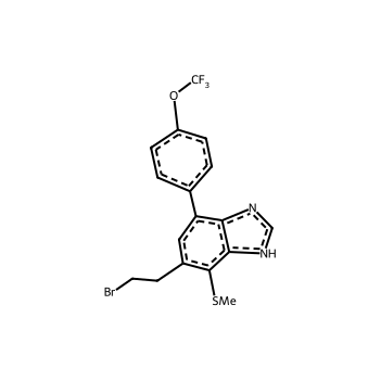 CSc1c(CCBr)cc(-c2ccc(OC(F)(F)F)cc2)c2nc[nH]c12